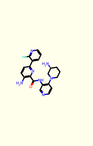 Nc1ccc(-c2cccnc2F)nc1C(=O)Nc1cnccc1N1CCC[C@H](N)C1